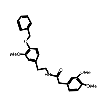 COc1ccc(CC(=O)NCCc2ccc(OCc3ccccc3)c(OC)c2)cc1OC